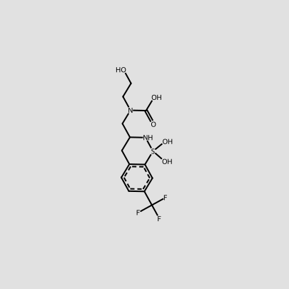 O=C(O)N(CCO)CC1Cc2ccc(C(F)(F)F)cc2S(O)(O)N1